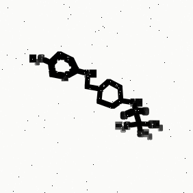 Cc1ccc(NCC2CCC(NS(=O)(=O)C(C)(C)C)CC2)nc1